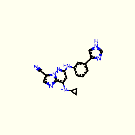 N#Cc1cnc2c(NC3CC3)cc(Nc3cccc(-c4c[nH]cn4)c3)nn12